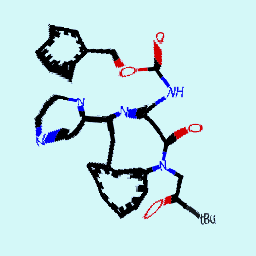 CC(C)(C)C(=O)CN1C(=O)C(NC(=O)OCc2ccccc2)=NC(C2=NCCN=C2)c2ccccc21